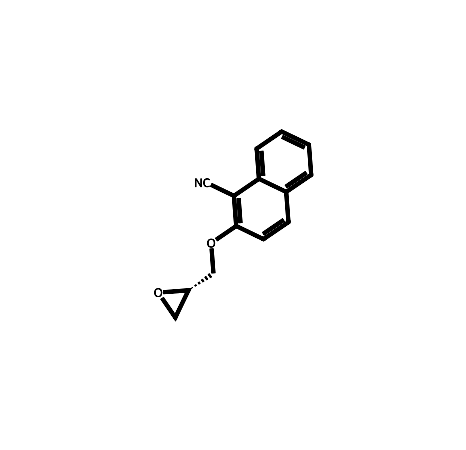 N#Cc1c(OC[C@@H]2CO2)ccc2ccccc12